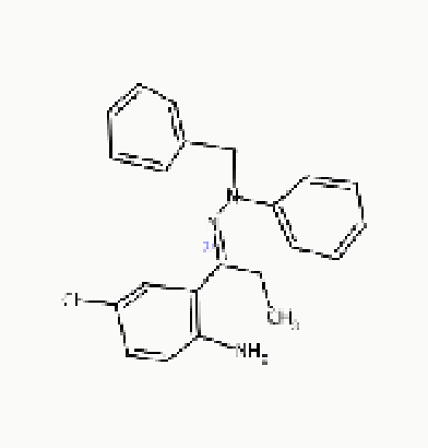 CC/C(=N\N(Cc1ccccc1)c1ccccc1)c1cc(Cl)ccc1N